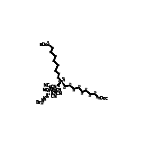 CCCCCCCCCCCCCCCCCC[N+](C)(C)CCCCCCCCCCCCCCCCCC.N#[C][Fe-3]([C]#N)([C]#N)([C]#N)([C]#N)[C]#N.[Br-].[K+].[K+].[K+]